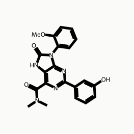 COc1ccccc1-n1c(=O)[nH]c2c(C(=O)N(C)C)nc(-c3cccc(O)c3)nc21